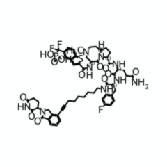 CN1CC[C@H]2CC[C@@H](C(=O)N[C@@H](CCC(N)=O)C(=O)N[C@@H](Cc3ccc(F)cc3)C(=O)NCCCCCCCC#Cc3cccc4c3CN(C3CCC(=O)NC3=O)C4=O)N2C(=O)[C@@H](NC(=O)c2cc3cc(C(F)(F)P(=O)(O)O)ccc3s2)C1